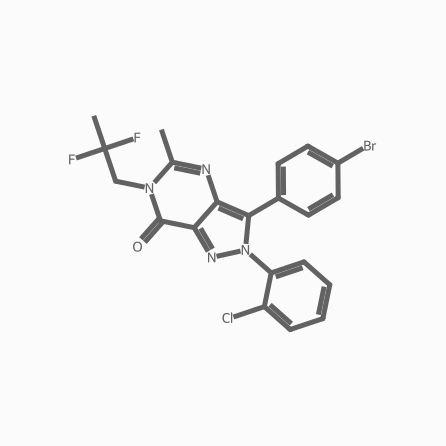 Cc1nc2c(-c3ccc(Br)cc3)n(-c3ccccc3Cl)nc2c(=O)n1CC(C)(F)F